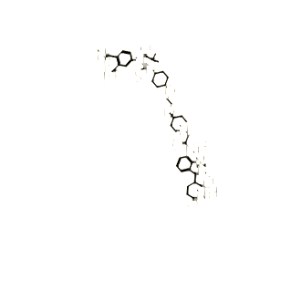 C[C@@H]1CC(OCCO[C@H]2CC[C@H](N3C(=S)N(c4ccc(C#N)c(C(F)(F)F)c4)C(=O)C3(C)C)CC2)C[C@H](C)N1CC(=O)Nc1cccc2c(C3CCC(=O)NC3=O)nn(C)c12